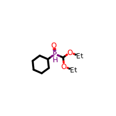 CCOC(OCC)[PH](=O)C1CCCCC1